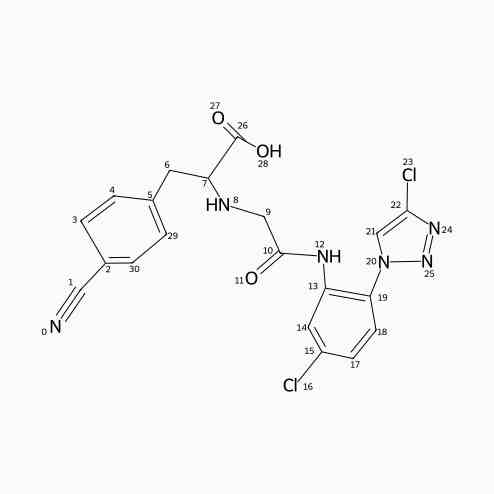 N#Cc1ccc(CC(NCC(=O)Nc2cc(Cl)ccc2-n2cc(Cl)nn2)C(=O)O)cc1